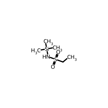 CCS(=O)(=O)N[Si](C)(C)C